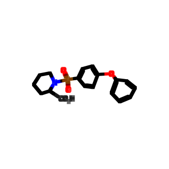 O=C(O)C1CCCCN1S(=O)(=O)c1ccc(Oc2ccccc2)cc1